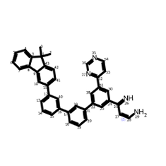 CC1(C)c2ccccc2-c2cc(-c3cccc(-c4cccc(-c5cc(C(=N)/C=C\N)cc(-c6ccncn6)c5)c4)c3)ccc21